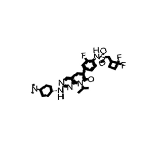 CC(C)n1c(=O)c(-c2ccc(NS(=O)(=O)CC3CCC3(F)F)c(F)c2)cc2cnc(N[C@H]3CC[C@H](N(C)C)CC3)nc21